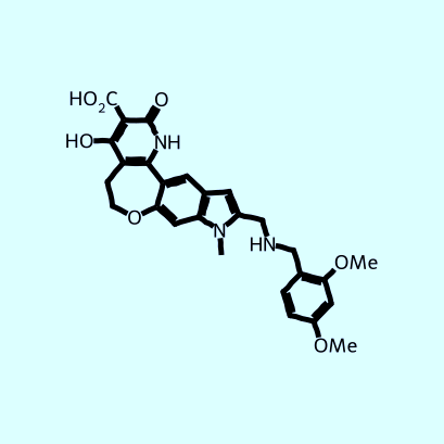 COc1ccc(CNCc2cc3cc4c(cc3n2C)OCCc2c-4[nH]c(=O)c(C(=O)O)c2O)c(OC)c1